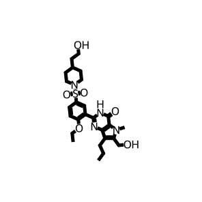 CCCc1c(CO)n(C)c2c(=O)[nH]c(-c3cc(S(=O)(=O)N4CCC(CCO)CC4)ccc3OCC)nc12